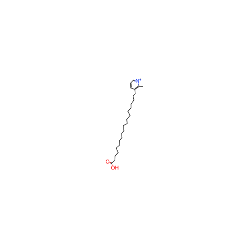 Cc1c(CCCCCCCCCCCCCCCCCCCC(=O)O)ccc[n+]1C